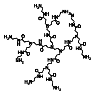 C=NCCNC(=O)CCN(CCNC(=O)CCN(CCC(=O)NCCN(CCC(=O)NCCN)CCC(=O)NCCN)CCN(CCC(=O)NCCN(CCC(=O)NCCN)CCC(=O)NCCN)CCC(=O)NCCN(CCC(=O)NCCN)CCC(=O)NCCN)CCC(=O)NCCN